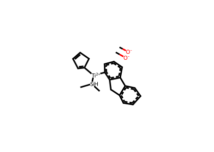 C[O-].C[O-].C[SiH](C)[Ti+2]([C]1=CC=CC1)[c]1cccc2c1Cc1ccccc1-2